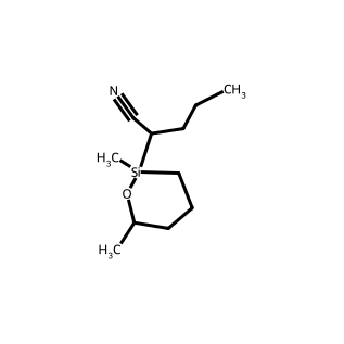 CCCC(C#N)[Si]1(C)CCCC(C)O1